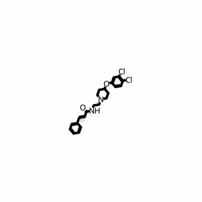 O=C(/C=C/c1ccccc1)NCCN1CCC(Oc2ccc(Cl)c(Cl)c2)CC1